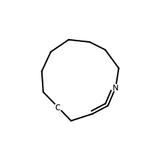 C1=CCCCCCCCCCN=1